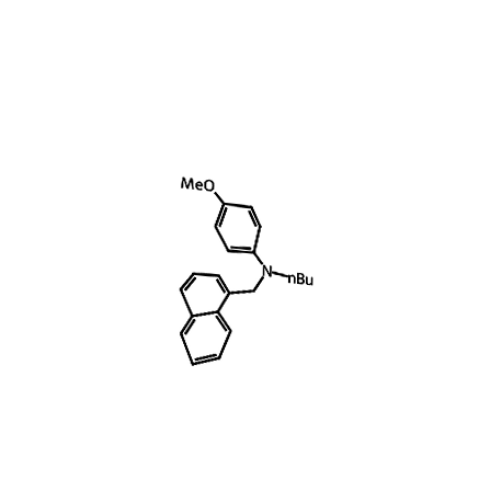 CCCCN(Cc1cccc2ccccc12)c1ccc(OC)cc1